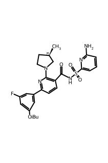 CC(C)COc1cc(F)cc(-c2ccc(C(=O)NS(=O)(=O)c3cccc(N)n3)c(N3CC[C@@H](C)C3)n2)c1